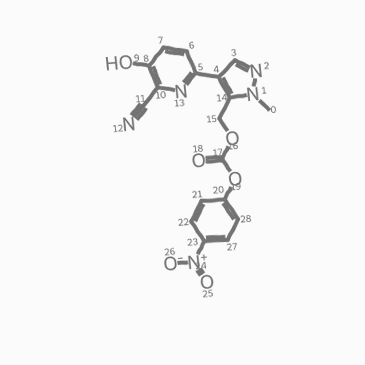 Cn1ncc(-c2ccc(O)c(C#N)n2)c1COC(=O)Oc1ccc([N+](=O)[O-])cc1